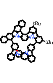 CC(C)(C)c1cc(-c2ccc3c(c2)c2ccccc2n3-c2ccccc2)c2c(c1)c1cc(C(C)(C)C)cc3c4c5c6c7ccccc7cc7c8cc9ccccc9c(-c9ccc%10c(c9)c9ccccc9n%10-c9ccccc9)c8n(c5ccc4n2c13)c76